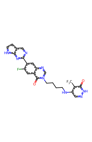 O=c1[nH]ncc(NCCCCn2cnc3cc(-c4ncc5cc[nH]c5n4)c(F)cc3c2=O)c1C(F)(F)F